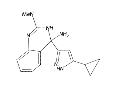 CNC1=Nc2ccccc2C(N)(c2cc(C3CC3)[nH]n2)N1